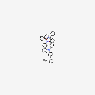 Cc1ccccc1-c1ccc2c(c1)c1ccccc1n2-c1cccc(-c2cc(-c3ccccc3)nc(-c3ccccc3)n2)c1-c1ccccc1-n1c2ccccc2c2ccccc21